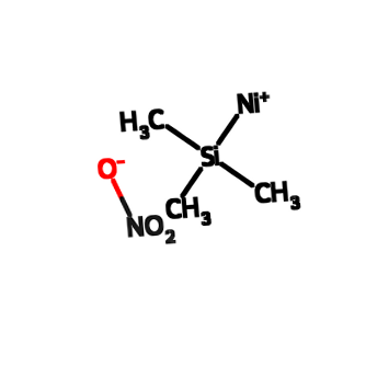 C[Si](C)(C)[Ni+].O=[N+]([O-])[O-]